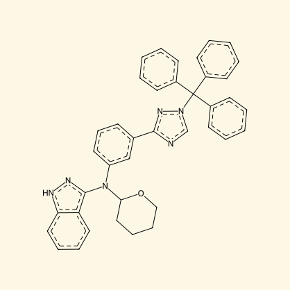 c1ccc(C(c2ccccc2)(c2ccccc2)n2cnc(-c3cccc(N(c4n[nH]c5ccccc45)C4CCCCO4)c3)n2)cc1